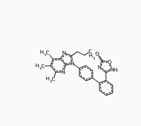 CCCc1nc2c(C)c(C)c(C)nc2n1-c1ccc(-c2ccccc2-c2nc(=O)o[nH]2)cc1